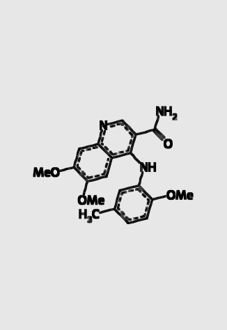 COc1ccc(C)cc1Nc1c(C(N)=O)cnc2cc(OC)c(OC)cc12